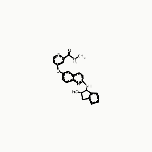 CNC(=O)c1cc(Oc2ccc3nc(N[C@H]4c5ccccc5C[C@H]4O)ccc3c2)ccn1